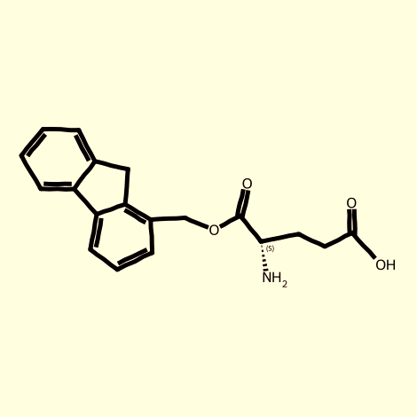 N[C@@H](CCC(=O)O)C(=O)OCc1cccc2c1Cc1ccccc1-2